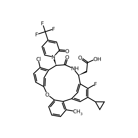 Cc1cccc2c1-c1cc(C3CC3)c(F)c(c1)[C@H](CC(=O)O)NC(=O)[C@H](n1ccc(C(F)(F)F)cc1=O)c1cc(ccc1Cl)O2